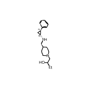 CCC(O)CN1CCC(CN[C@@H]2C[C@H]2c2ccccc2)CC1